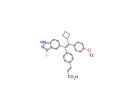 CCOc1ccc(/C(=C(\c2ccc(/C=C/C(=O)O)cc2)c2ccc3[nH]nc(F)c3c2)C2CCC2)cc1